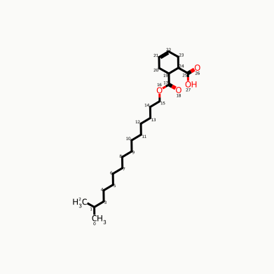 CC(C)CCCCCCCCCCCCCOC(=O)C1CC=CCC1C(=O)O